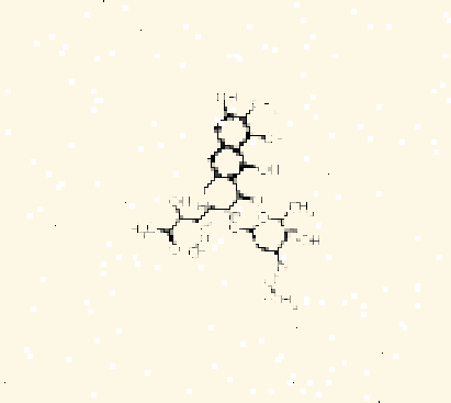 COOC1CC(O[C@@H]2C(=O)c3c(cc4cc(O)c(C)c(O)c4c3O)C[C@H]2[C@H](OC)C(O)C(C)=O)OC(C)[C@H]1O